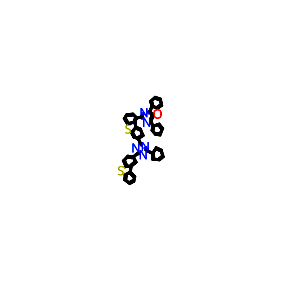 c1ccc(-c2nc(-c3ccc4c(c3)sc3cccc(-c5nc(-c6ccccc6)c6oc7ccccc7c6n5)c34)nc(-c3ccc4sc5ccccc5c4c3)n2)cc1